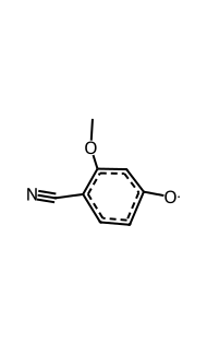 COc1cc([O])ccc1C#N